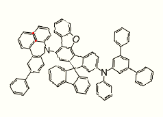 c1ccc(-c2cc(-c3ccccc3)cc(N(c3ccccc3)c3ccc4c(c3)C3(c5ccccc5-c5ccccc53)c3cc(N(c5ccccc5)c5ccc(-c6ccccc6)cc5-c5ccccc5)c5c(oc6ccccc65)c3-4)c2)cc1